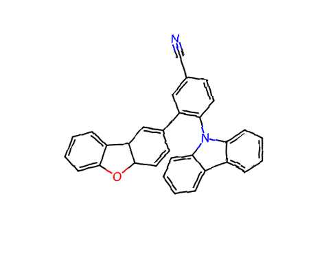 N#Cc1ccc(-n2c3ccccc3c3ccccc32)c(C2=CC3c4ccccc4OC3C=C2)c1